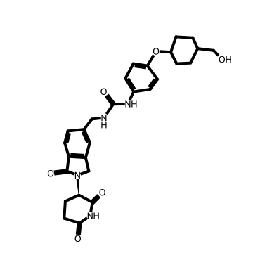 O=C1CC[C@@H](N2Cc3cc(CNC(=O)Nc4ccc(OC5CCC(CO)CC5)cc4)ccc3C2=O)C(=O)N1